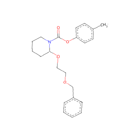 [CH2]c1ccc(OC(=O)N2CCCCC2OCCOCc2ccccc2)cc1